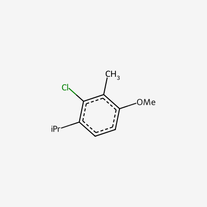 COc1ccc(C(C)C)c(Cl)c1C